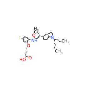 CCCCC(CCC)n1ccc2cc(/C(=C/C(=O)Nc3ccc(F)cc3OCCCC(=O)O)CC)ccc21